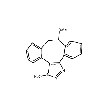 COC1Cc2ccccc2-c2c(nnn2C)-c2ccccc21